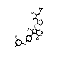 Cc1c(-c2ccc(Oc3cc(F)cc(F)c3)cc2)c2c(N)ncnc2n1C[C@H]1CCCN1C(=O)C(C#N)=CC1CC1